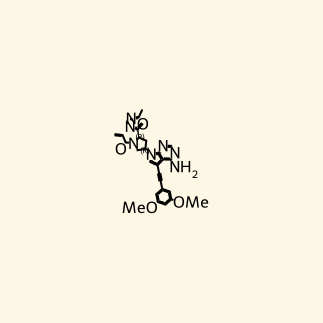 C=CC(=O)N1C[C@H](n2cc(C#Cc3cc(OC)cc(OC)c3)c3c(N)ncnc32)C[C@@H]1c1nnc(C)o1